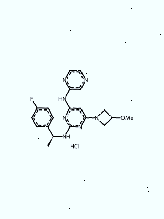 COC1CN(c2cc(Nc3cnccn3)nc(N[C@@H](C)c3ccc(F)cc3)n2)C1.Cl